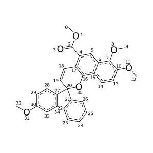 COC(=O)c1cc2c(OC)c(OC)ccc2c2c1C=CC(c1ccccc1)(c1ccc(OC)cc1)O2